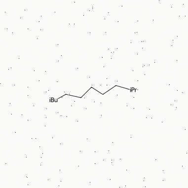 CCC(C)CCCCC[C](C)C